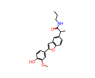 CCCNC(=O)C(C)c1ccc2oc(-c3ccc(O)c(OC)c3)cc2c1